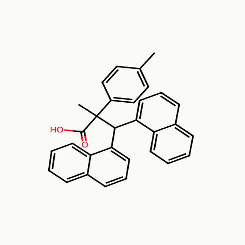 Cc1ccc(C(C)(C(=O)O)C(c2cccc3ccccc23)c2cccc3ccccc23)cc1